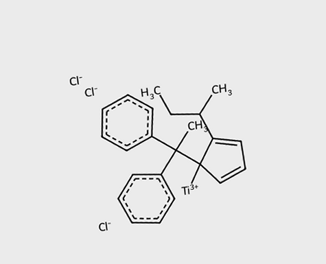 CCC(C)C1=CC=C[C]1([Ti+3])C(C)(c1ccccc1)c1ccccc1.[Cl-].[Cl-].[Cl-]